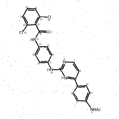 CC(=O)Nc1ccc(-c2ccnc(Nc3ccc(NC(=O)c4c(Cl)cccc4Cl)cc3)n2)cc1